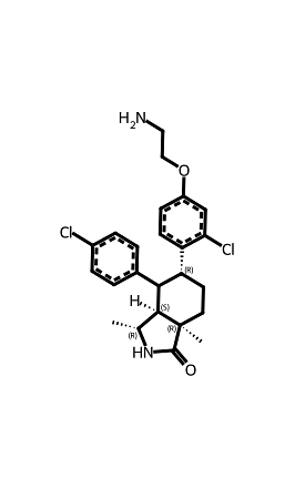 C[C@H]1NC(=O)[C@]2(C)CC[C@@H](c3ccc(OCCN)cc3Cl)C(c3ccc(Cl)cc3)[C@H]12